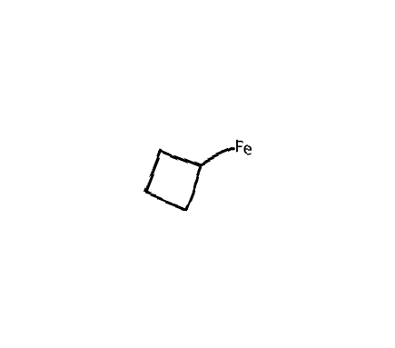 [Fe][CH]1CCC1